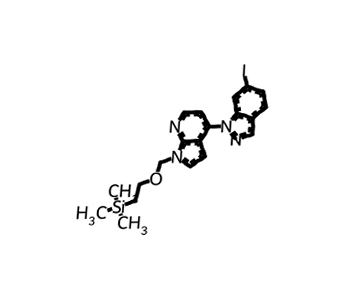 C[Si](C)(C)CCOCn1ccc2c(-n3ncc4ccc(I)cc43)ccnc21